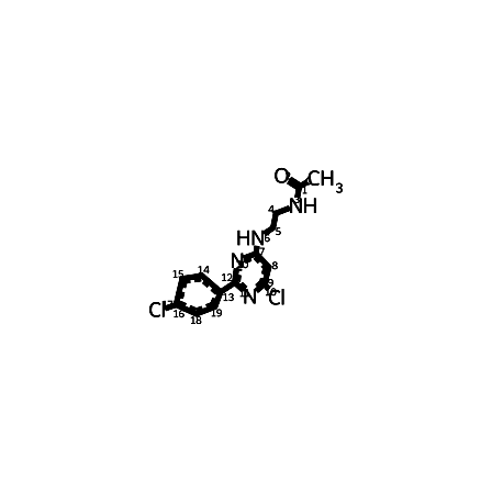 CC(=O)NCCNc1cc(Cl)nc(-c2ccc(Cl)cc2)n1